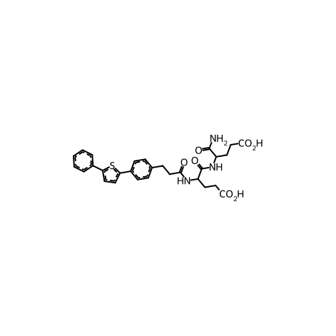 NC(=O)C(CCC(=O)O)NC(=O)C(CCC(=O)O)NC(=O)CCc1ccc(-c2ccc(-c3ccccc3)s2)cc1